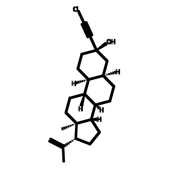 C=C(C)[C@H]1CC[C@H]2[C@@H]3CC[C@@H]4C[C@@](O)(C#CCl)CC[C@@H]4[C@H]3CC[C@]12C